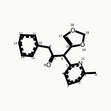 Cc1cccc(C(C(=O)Cc2ccccc2)C2=COCO2)n1